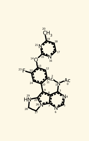 CC(=O)N(C(C)=O)c1ncnc2c1c(-c1ccc(Oc3nccc(C)n3)c(F)c1)c1n2CCN1